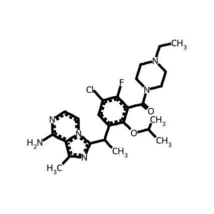 CCN1CCN(C(=O)c2c(F)c(Cl)cc(C(C)c3nc(C)c4c(N)nccn34)c2OC(C)C)CC1